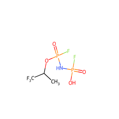 CC(OP(=O)(F)NP(=O)(O)F)C(F)(F)F